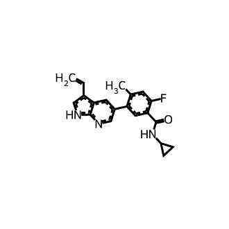 C=Cc1c[nH]c2ncc(-c3cc(C(=O)NC4CC4)c(F)cc3C)cc12